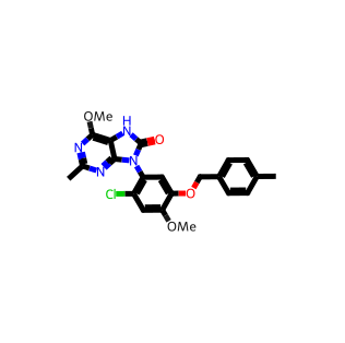 COc1cc(Cl)c(-n2c(=O)[nH]c3c(OC)nc(C)nc32)cc1OCc1ccc(C)cc1